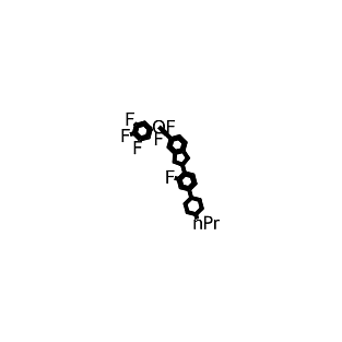 CCCC1CCC(c2ccc(C3Cc4ccc(C(F)(F)Oc5cc(F)c(F)c(F)c5)cc4C3)c(F)c2)CC1